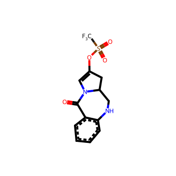 O=C1c2ccccc2NCC2CC(OS(=O)(=O)C(F)(F)F)=CN12